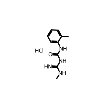 CNC(=N)NC(=O)Nc1ccccc1C.Cl